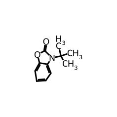 CC(C)(C)n1c(=O)oc2ccccc21